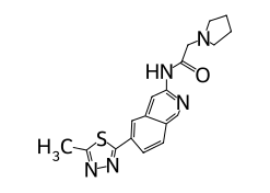 Cc1nnc(-c2ccc3cnc(NC(=O)CN4CCCC4)cc3c2)s1